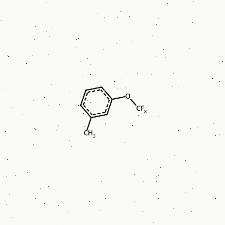 Cc1[c]ccc(OC(F)(F)F)c1